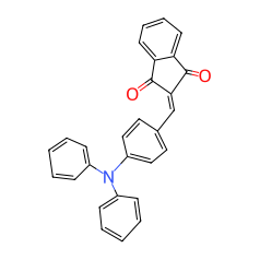 O=C1C(=Cc2ccc(N(c3ccccc3)c3ccccc3)cc2)C(=O)c2ccccc21